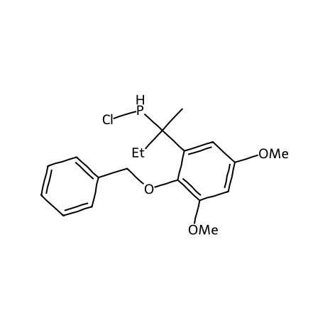 CCC(C)(PCl)c1cc(OC)cc(OC)c1OCc1ccccc1